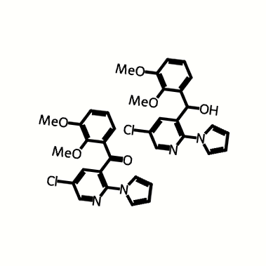 COc1cccc(C(=O)c2cc(Cl)cnc2-n2cccc2)c1OC.COc1cccc(C(O)c2cc(Cl)cnc2-n2cccc2)c1OC